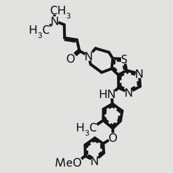 COc1ccc(Oc2ccc(Nc3ncnc4sc5c(c34)CCN(C(=O)/C=C/CN(C)C)CC5)cc2C)cn1